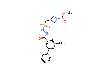 Cc1cc(-c2ccccc2)cc(C(=O)NNS(=O)(=O)CC2CN(C(=O)OC(C)(C)C)C2)c1F